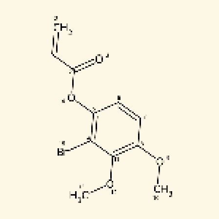 C=CC(=O)Oc1ccc(OC)c(OC)c1Br